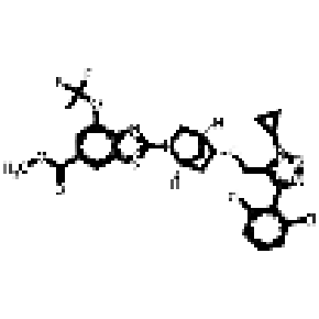 COC(=O)c1cc(OC(F)(F)F)c2nc(N3C[C@@H]4C[C@H]3C[C@H]4OCc3c(-c4c(Cl)cccc4Cl)nnn3C3CC3)sc2c1